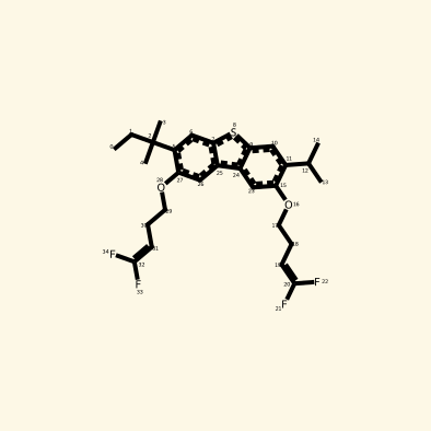 CCC(C)(C)c1cc2sc3cc(C(C)C)c(OCCC=C(F)F)cc3c2cc1OCCC=C(F)F